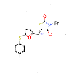 Cc1ccc(Sc2ccc(/C=C3\SC(=O)N(C(C)C)C3=O)o2)cc1